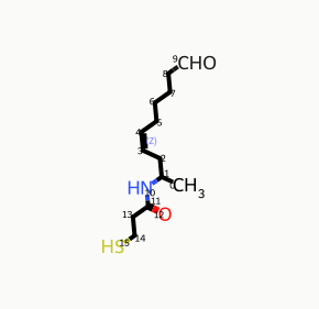 CC(C/C=C\CCCCC=O)NC(=O)CCS